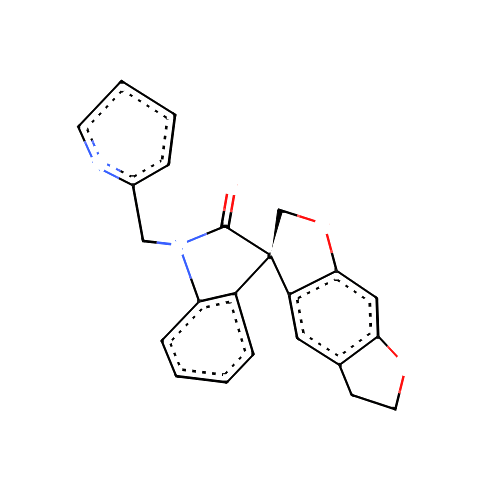 O=C1N(Cc2ccccn2)c2ccccc2[C@]12COc1cc3c(cc12)CCO3